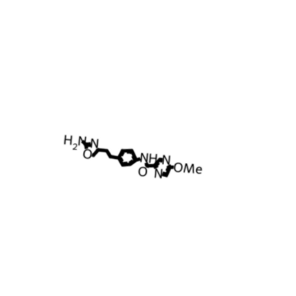 COc1cnc(C(=O)Nc2ccc(CCC3COC(N)=N3)cc2)cn1